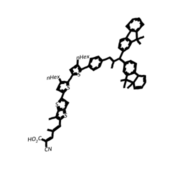 CCCCCCc1cc(-c2sc(-c3cc4sc(/C=C(C)/C=C(/C#N)C(=O)O)c(C)c4s3)cc2CCCCCC)sc1-c1ccc(CC(C)C(c2ccc3c(c2)C(C)(C)c2ccccc2-3)c2ccc3c(c2)C(C)(C)C2(C)C=CC=CC32)cc1